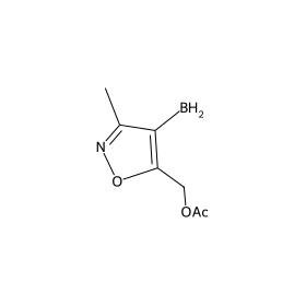 Bc1c(C)noc1COC(C)=O